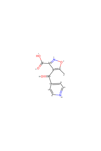 Cc1onc(C(=O)O)c1C(=O)c1ccncc1